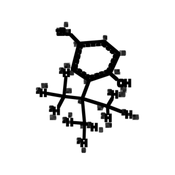 [2H]C([2H])([2H])C(c1cc(C(C)(C)C)ccc1O)(C([2H])([2H])[2H])C([2H])([2H])[2H]